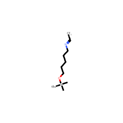 CC(C)(C)[Si](C)(C)OCCCCCN=CC(F)(F)F